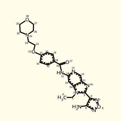 CCn1c(-c2nonc2N)nc2cnc(NC(=O)c3ccc(OCCN4CCOCC4)cc3)cc21